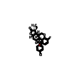 CC[C@H]1C(=O)O[C@@H]2CC[C@@]3(S(=O)(=O)c4ccc(Cl)cc4)c4c(F)ccc(F)c4OC[C@H]3[C@@H]21